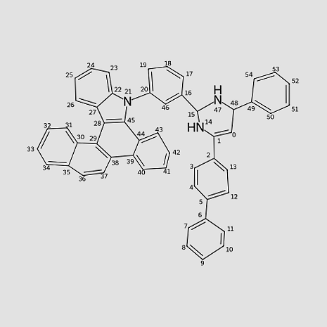 C1=C(c2ccc(-c3ccccc3)cc2)NC(c2cccc(-n3c4ccccc4c4c5c6ccccc6ccc5c5ccccc5c43)c2)NC1c1ccccc1